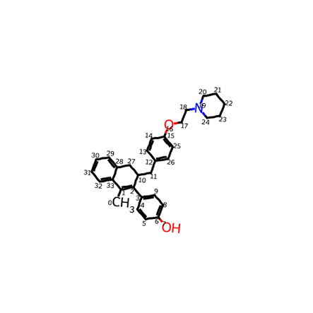 CC1=C(c2ccc(O)cc2)C(Cc2ccc(OCCN3CCCCC3)cc2)Cc2ccccc21